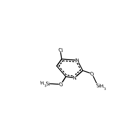 [SiH3]Oc1cc(Cl)nc(O[SiH3])n1